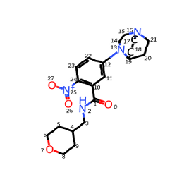 O=C(NCC1CCOCC1)c1cc(N2CCN3CCC2CC3)ccc1[N+](=O)[O-]